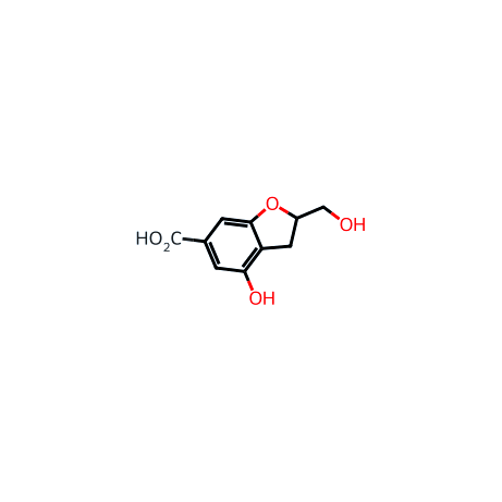 O=C(O)c1cc(O)c2c(c1)OC(CO)C2